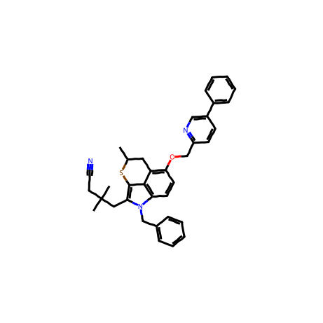 CC1Cc2c(OCc3ccc(-c4ccccc4)cn3)ccc3c2c(c(CC(C)(C)CC#N)n3Cc2ccccc2)S1